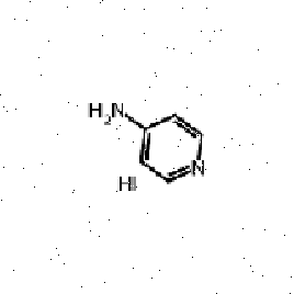 I.Nc1ccncc1